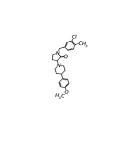 COc1ccc(C2CCN(C3CCN(Cc4ccc(C)c(Cl)c4)C3=O)CC2)cc1